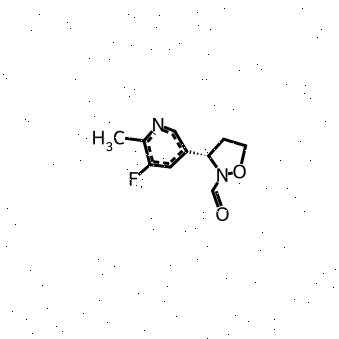 Cc1ncc([C@@H]2CCON2C=O)cc1F